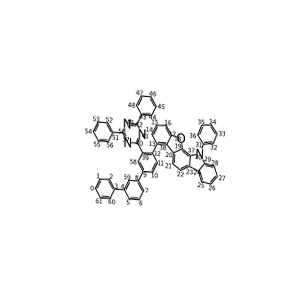 c1ccc(-c2cccc(-c3ccc(-c4cccc5oc6c(ccc7c8ccccc8n(-c8ccccc8)c76)c45)c(-c4nc(-c5ccccc5)nc(-c5ccccc5)n4)c3)c2)cc1